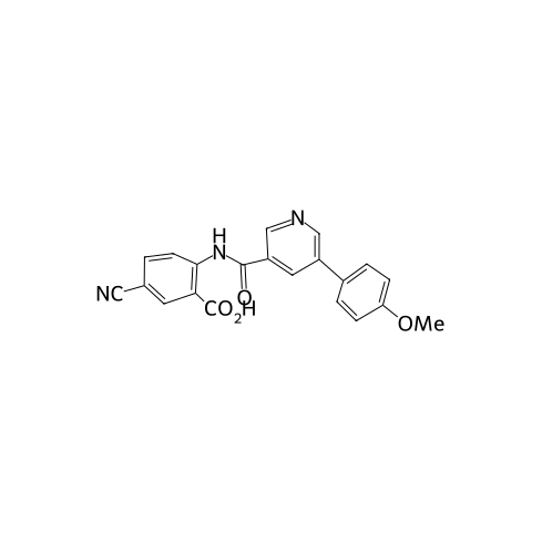 COc1ccc(-c2cncc(C(=O)Nc3ccc(C#N)cc3C(=O)O)c2)cc1